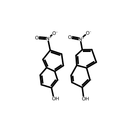 O=[N+]([O-])c1ccc2[c]c(O)ccc2c1.O=[N+]([O-])c1ccc2[c]c(O)ccc2c1